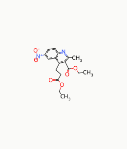 CCOC(=O)CCc1c(C(=O)OCC)c(C)nc2ccc([N+](=O)[O-])cc12